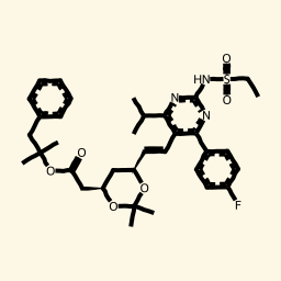 CCS(=O)(=O)Nc1nc(-c2ccc(F)cc2)c(/C=C/[C@@H]2C[C@H](CC(=O)OC(C)(C)Cc3ccccc3)OC(C)(C)O2)c(C(C)C)n1